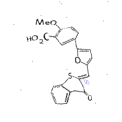 COc1ccc(-c2ccc(/C=C3\Sc4ccccc4C3=O)o2)cc1C(=O)O